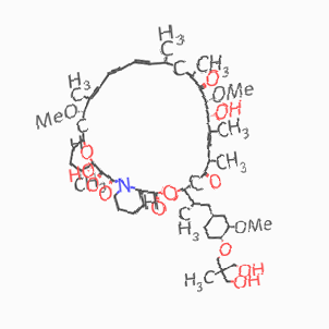 CO[C@H]1C[C@@H]2CC[C@@H](C)[C@@](O)(O2)C(=O)C(=O)N2CCCC[C@H]2C(=O)O[C@H]([C@H](C)C[C@@H]2CC[C@@H](OCC(C)(CO)CO)[C@H](OC)C2)CC(=O)[C@H](C)/C=C(\C)[C@@H](O)[C@@H](OC)C(=O)[C@H](C)C[C@H](C)/C=C/C=C/C=C/1C